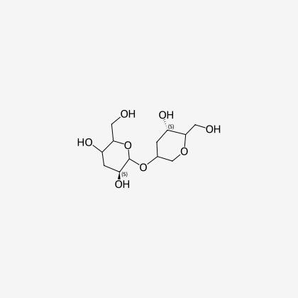 OCC1OC(OC2COC(CO)[C@@H](O)C2)[C@@H](O)CC1O